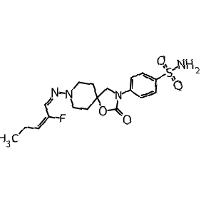 CC/C=C(F)\C=N/N1CCC2(CC1)CN(c1ccc(S(N)(=O)=O)cc1)C(=O)O2